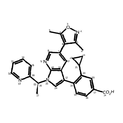 Cc1noc(C)c1-c1cnc2c(c1)c(-c1ccc(C(=O)O)cc1C1CC1)cn2[C@@H](C)c1ccccn1